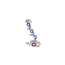 COc1ccc(CC(=O)N2CCC(CNc3ncc(C(=O)Nc4c(C)ccc(O)c4C)s3)CC2)nc1